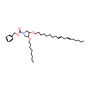 CCCCCC=CCC=CCCCCCCCCOC1CN(C(=O)OCc2ccccc2)CC1OCCCCCCCC